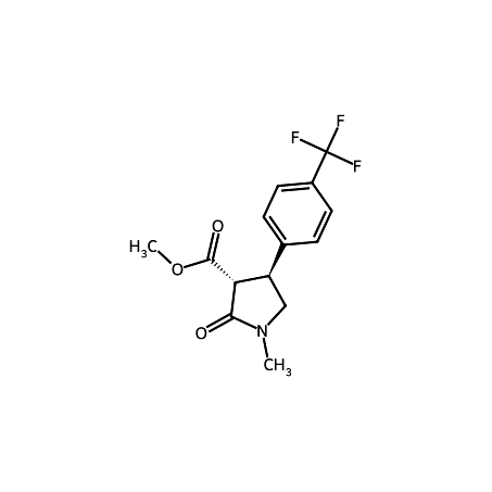 COC(=O)[C@H]1C(=O)N(C)C[C@@H]1c1ccc(C(F)(F)F)cc1